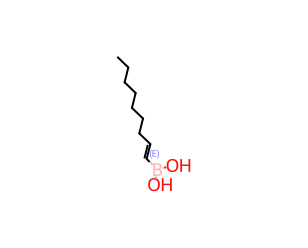 CCCCCCC/C=C/B(O)O